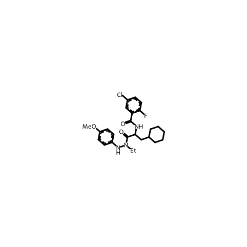 CCN(Nc1ccc(OC)cc1)C(=O)C(CC1CCCCC1)NC(=O)c1cc(Cl)ccc1F